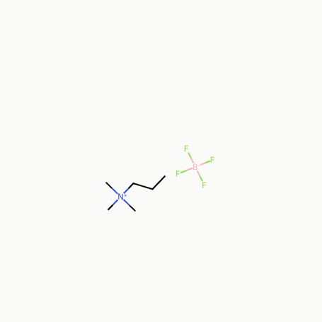 CCC[N+](C)(C)C.F[B-](F)(F)F